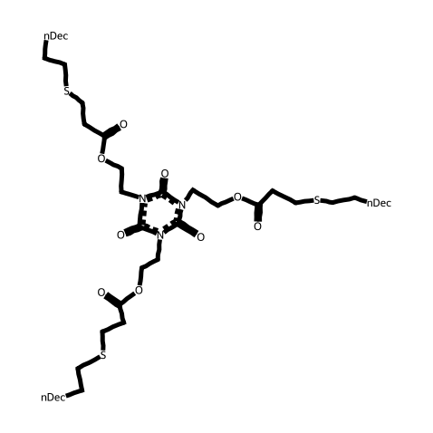 CCCCCCCCCCCCSCCC(=O)OCCn1c(=O)n(CCOC(=O)CCSCCCCCCCCCCCC)c(=O)n(CCOC(=O)CCSCCCCCCCCCCCC)c1=O